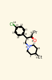 CCC1CCN(C[C@H](C(=O)C(C)C)c2ccc(Cl)cc2)CC1